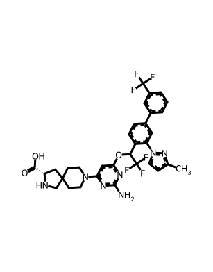 Cc1ccn(-c2cc(-c3cccc(C(F)(F)F)c3)ccc2C(Oc2cc(N3CCC4(CC3)CN[C@H](C(=O)O)C4)nc(N)n2)C(F)(F)F)n1